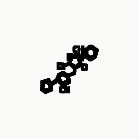 CCc1nc(C)n(-c2ccccc2)c(=O)c1Cc1ccc(-c2ccccc2)c(C#N)c1